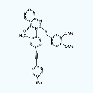 COc1ccc(/C=C/c2nc3ccccc3c(=O)n2-c2ccc(C#Cc3ccc(C(C)(C)C)cc3)cc2C)cc1OC